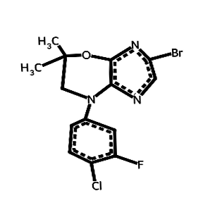 CC1(C)CN(c2ccc(Cl)c(F)c2)c2ncc(Br)nc2O1